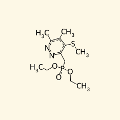 CCOP(=O)(Cc1nnc(C)c(C)c1SC)OCC